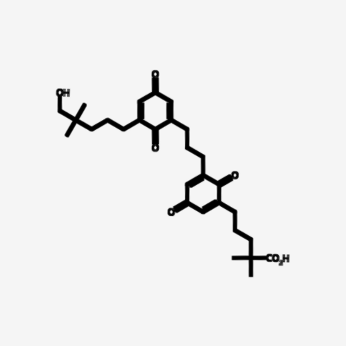 CC(C)(CO)CCCC1=CC(=O)C=C(CCCC2=CC(=O)C=C(CCCC(C)(C)C(=O)O)C2=O)C1=O